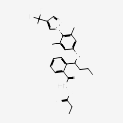 CCCC(Nc1cc(C)c(-n2cc(C(F)(F)F)cn2)c(C)c1)c1ccccc1C(=O)NOC(=O)CC